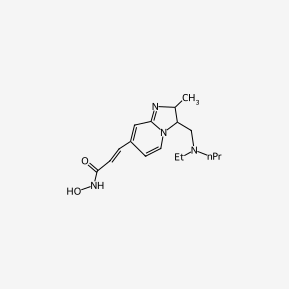 CCCN(CC)CC1C(C)N=C2C=C(/C=C/C(=O)NO)C=CN21